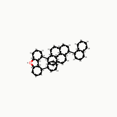 c1ccc(-c2cccc3oc4cccc(-c5ccc6ccc7c(-c8cccc9ccccc89)ccc8ccc5c6c87)c4c23)cc1